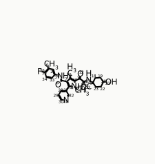 Cc1cc(NC(=O)c2c(C)c(C(=O)C(=O)NC3(C)CCC(O)CC3)n(C)c2-c2cccnc2)ccc1F